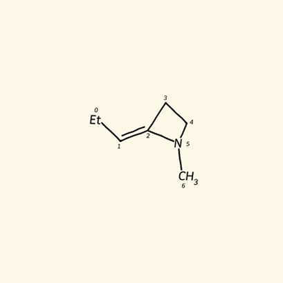 CC/C=C1\CCN1C